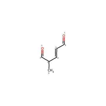 CC([C]=O)C=CC=O